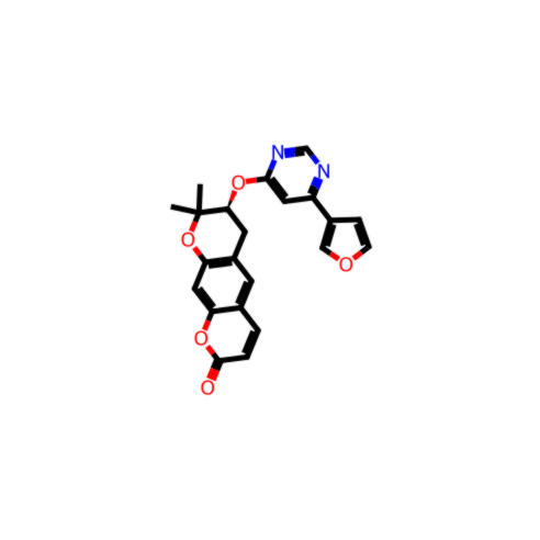 CC1(C)Oc2cc3oc(=O)ccc3cc2C[C@@H]1Oc1cc(-c2ccoc2)ncn1